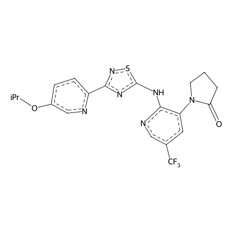 CC(C)Oc1ccc(-c2nsc(Nc3ncc(C(F)(F)F)cc3N3CCCC3=O)n2)nc1